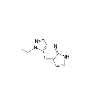 CCn1ncc2nc3[nH]ccc3cc21